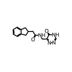 O=C(CC1Cc2ccccc2C1)NCc1nnc[nH]c1=O